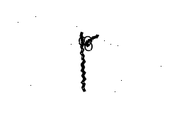 CCCCCCCCC=CCCCCCCC(CCCC)C(=O)OCCCC